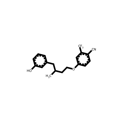 CC(CCOc1ccc(C#N)c(C(F)(F)F)c1)Cc1cccc(O)c1